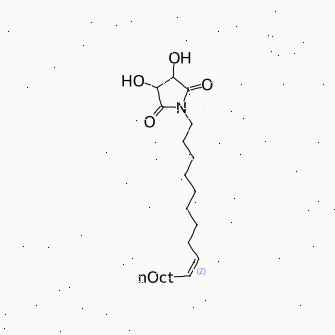 CCCCCCCC/C=C\CCCCCCCCN1C(=O)C(O)C(O)C1=O